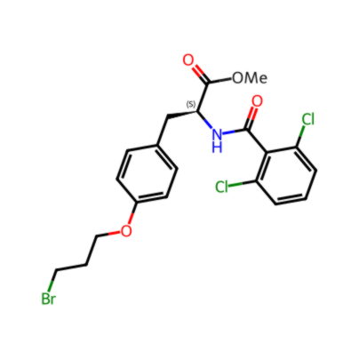 COC(=O)[C@H](Cc1ccc(OCCCBr)cc1)NC(=O)c1c(Cl)cccc1Cl